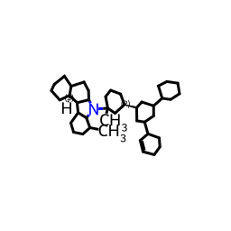 CC1CCCC2C3C(CCC4CCCC[C@@H]43)N(C3(C)CCC[C@@H](C4CC(C5C=CCCC5)CC(C5CCCCC5)C4)C3)C12